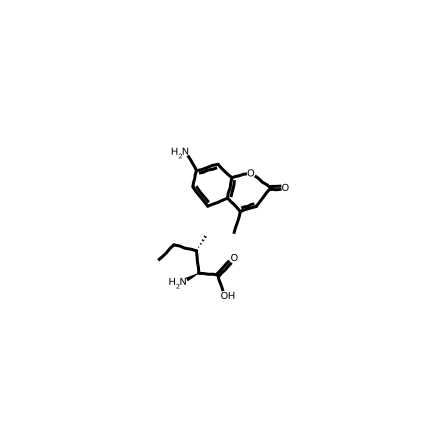 CC[C@H](C)[C@H](N)C(=O)O.Cc1cc(=O)oc2cc(N)ccc12